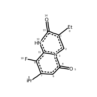 CCc1cn2c(=O)cc(C(C)C)c(F)c2[nH]c1=O